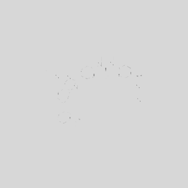 CN1CCN(C(=O)c2ccc(NC(=O)Nc3ccc(-c4nc(N5CCOCC5)c5ccc(-c6cccc(S(C)(=O)=O)c6)cc5n4)cc3)cc2)CC1